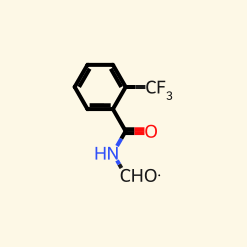 O=[C]NC(=O)c1ccccc1C(F)(F)F